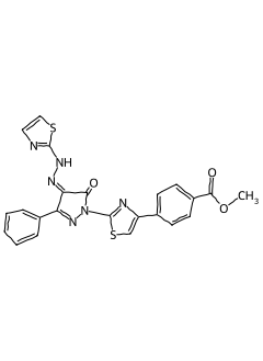 COC(=O)c1ccc(-c2csc(N3N=C(c4ccccc4)/C(=N/Nc4nccs4)C3=O)n2)cc1